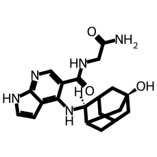 NC(=O)CNC(=O)c1cnc2[nH]ccc2c1N[C@H]1C2CC3CC1C[C@@](O)(C3)C2